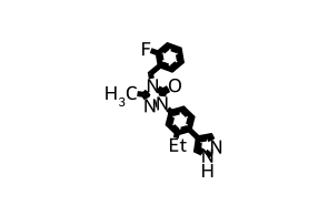 CCc1cc(-n2nc(C)n(Cc3ccccc3F)c2=O)ccc1-c1cn[nH]c1